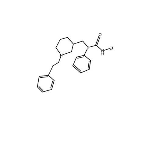 CCNC(=O)N(CC1CCCN(CCc2ccccc2)C1)c1ccccc1